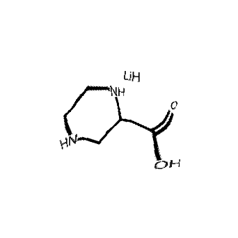 O=C(O)C1CNCCN1.[LiH]